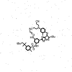 Cc1cc(N(CCC#N)CCC#N)ccc1/N=C1/C(C(C)(C)C)=Nn2nc(-c3cc(NOB=S)cc(NS(=O)(=O)c4cc(C(C)(C)CC(C)(C)C)ccc4C)c3)nc21